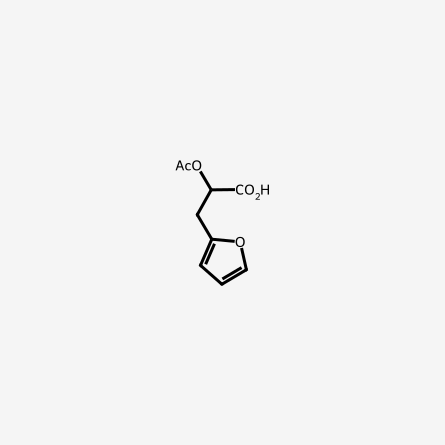 CC(=O)OC(Cc1ccco1)C(=O)O